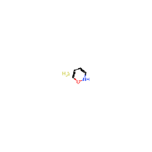 C1=CNOC=C1.S